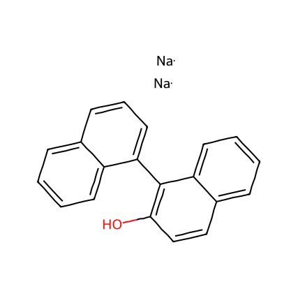 Oc1ccc2ccccc2c1-c1cccc2ccccc12.[Na].[Na]